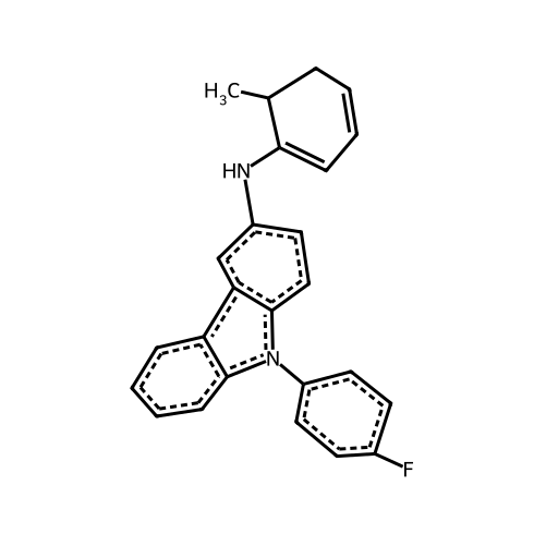 CC1CC=CC=C1Nc1ccc2c(c1)c1ccccc1n2-c1ccc(F)cc1